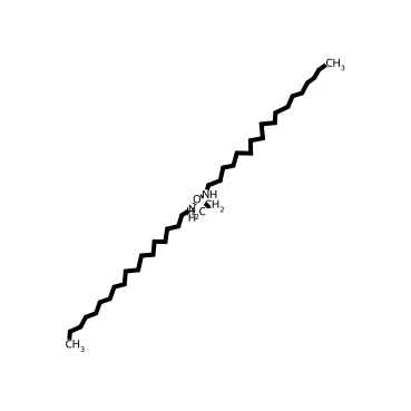 C=C.CCCCCCCCCCCCCCCCCCNONCCCCCCCCCCCCCCCCCC